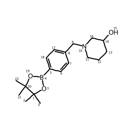 CC1(C)OB(c2ccc(CN3CCCC(O)C3)cc2)OC1(C)C